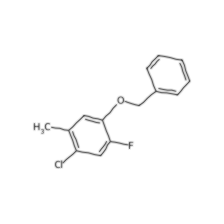 Cc1cc(OCc2ccccc2)c(F)cc1Cl